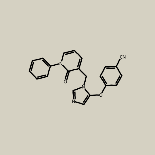 N#Cc1ccc(Oc2cncn2Cc2cccn(-c3ccccc3)c2=O)cc1